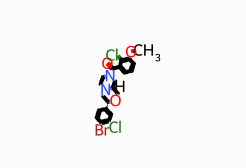 COc1cccc(C(=O)N2CCN3C[C@@H](c4ccc(Br)c(Cl)c4)OC[C@@H]3C2)c1Cl